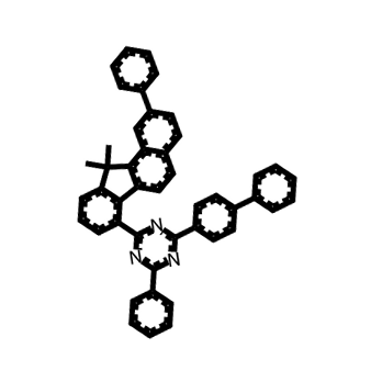 CC1(C)c2cccc(-c3nc(-c4ccccc4)nc(-c4ccc(-c5ccccc5)cc4)n3)c2-c2ccc3ccc(-c4ccccc4)cc3c21